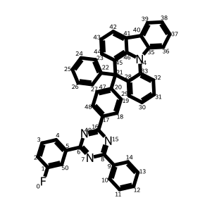 Fc1cccc(-c2nc(-c3ccccc3)nc(-c3ccc(C4(c5ccccc5)c5ccccc5-n5c6ccccc6c6cccc4c65)cc3)n2)c1